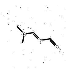 CN(C)/C=N/[C]=O